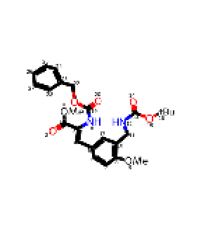 COC(=O)C(=Cc1ccc(OC)c(CNC(=O)OC(C)(C)C)c1)NC(=O)OCc1ccccc1